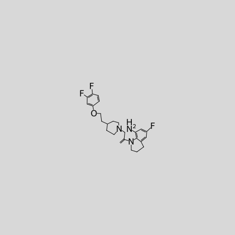 C=C(CN1CCC(CCOc2ccc(F)c(F)c2)CC1)N1CCCc2cc(F)cc(N)c21